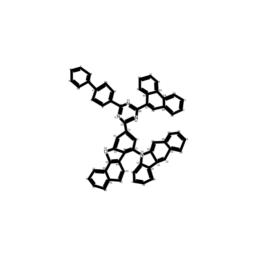 c1ccc(-c2ccc(-c3nc(-c4cc(-n5c6ccccc6c6cc7ccccc7cc65)c5c(c4)oc4c6ccccc6ccc45)nc(-c4cc5ccccc5c5ccccc45)n3)cc2)cc1